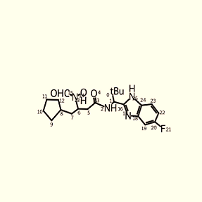 CC(C)(C)C(NC(=O)CC(CC1CCCC1)N(O)C=O)c1nc2cc(F)ccc2[nH]1